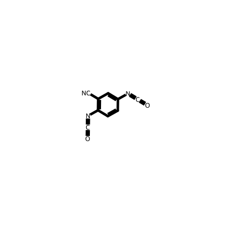 N#Cc1cc(N=C=O)ccc1N=C=O